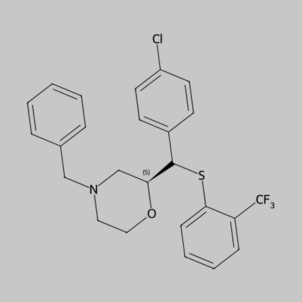 FC(F)(F)c1ccccc1SC(c1ccc(Cl)cc1)[C@@H]1CN(Cc2ccccc2)CCO1